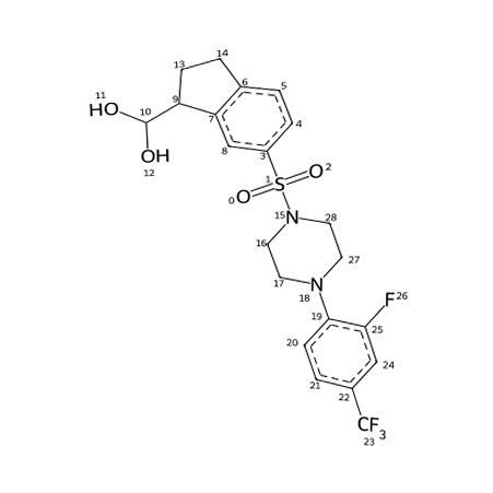 O=S(=O)(c1ccc2c(c1)C(C(O)O)CC2)N1CCN(c2ccc(C(F)(F)F)cc2F)CC1